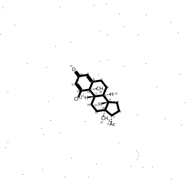 CC(=O)[C@H]1CC[C@H]2[C@@H]3CCC4=CC(=O)C=C(Cl)[C@]4(C)[C@H]3CC[C@]12C